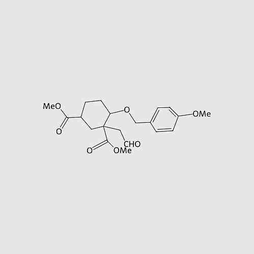 COC(=O)C1CCC(OCc2ccc(OC)cc2)C(CC=O)(C(=O)OC)C1